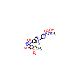 CC(C)c1cc(-c2nnc(O)n2-c2ccc3c(ccn3CC3CCN(C(=O)CN(C)C(=O)O)CC3)c2)c(O)cc1O